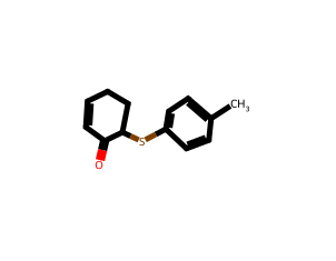 Cc1ccc(SC2CCC=CC2=O)cc1